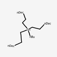 CCCCCCCCCCC[CH2][Sn]([CH2]CCC)([CH2]CCCCCCCCCCC)[CH2]CCCCCCCCCCC